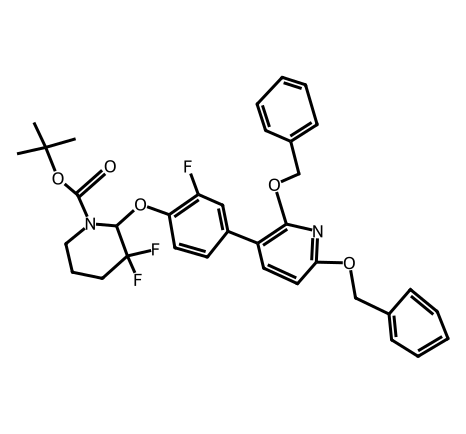 CC(C)(C)OC(=O)N1CCCC(F)(F)C1Oc1ccc(-c2ccc(OCc3ccccc3)nc2OCc2ccccc2)cc1F